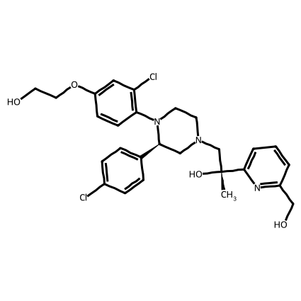 C[C@@](O)(CN1CCN(c2ccc(OCCO)cc2Cl)[C@H](c2ccc(Cl)cc2)C1)c1cccc(CO)n1